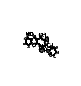 CN1C(=O)C(C)(Cc2ccccc2)N(C)C(=O)/C1=C\c1ccccc1[N+](=O)[O-]